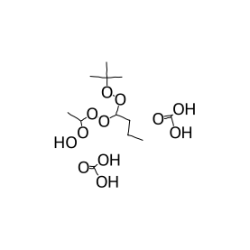 CCCC(OOC(C)OO)OOC(C)(C)C.O=C(O)O.O=C(O)O